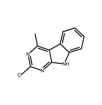 Cc1nc(Cl)nc2[nH]c3ccccc3c12